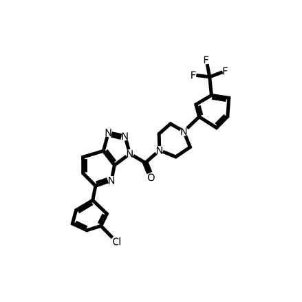 O=C(N1CCN(c2cccc(C(F)(F)F)c2)CC1)n1nnc2ccc(-c3cccc(Cl)c3)nc21